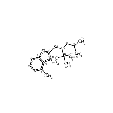 Cc1cccc2sc(SN(CC(C)C)C(C)(C)C)nc12